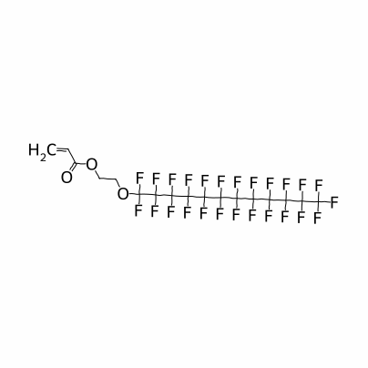 C=CC(=O)OCCOC(F)(F)C(F)(F)C(F)(F)C(F)(F)C(F)(F)C(F)(F)C(F)(F)C(F)(F)C(F)(F)C(F)(F)C(F)(F)C(F)(F)F